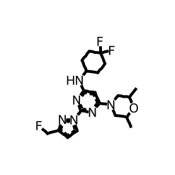 CC1CN(c2cc(NC3CCC(F)(F)CC3)nc(-n3ccc(CF)n3)n2)CC(C)O1